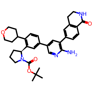 CC(C)(C)OC(=O)N1CCC[C@H]1c1cc(-c2cnc(N)c(-c3ccc4c(c3)CCNC4=O)c2)ccc1C1CCOCC1